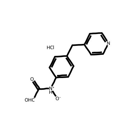 Cl.O=CC(=O)[NH+]([O-])c1ccc(Cc2ccncc2)cc1